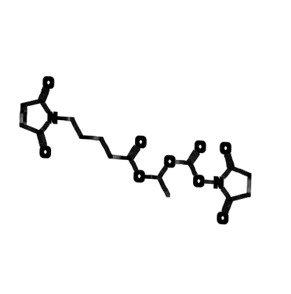 CC(OC(=O)CCCCN1C(=O)C=CC1=O)OC(=O)ON1C(=O)CCC1=O